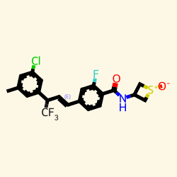 Cc1cc(Cl)cc(C(/C=C/c2ccc(C(=O)NC3C[S+]([O-])C3)c(F)c2)C(F)(F)F)c1